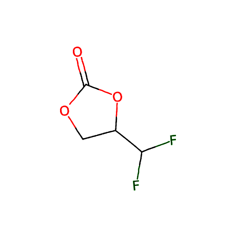 O=C1OCC(C(F)F)O1